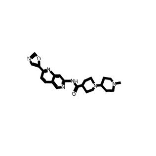 CN1CCC(N2CCC(C(=O)Nc3cc4nc(-c5cnco5)ccc4cn3)CC2)CC1